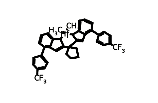 [CH3][Hf]1([CH3])[CH]2C(=Cc3c(-c4ccc(C(F)(F)F)cc4)cccc32)C2(CCCC2)C2=Cc3c(-c4ccc(C(F)(F)F)cc4)cccc3[CH]21